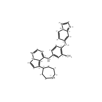 Cc1cc(Nc2ncnn3ccc(C4CCCNCC4)c23)ccc1Oc1ccn2ncnc2c1